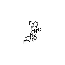 O=C(c1cccc(F)c1F)N1CCN(c2ccc(F)cc2Cl)C(=O)C1